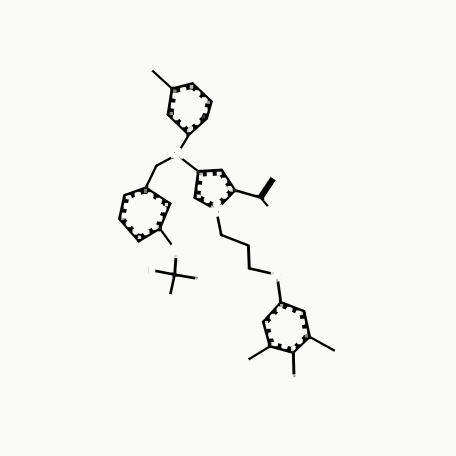 Cc1cccc(N(Cc2cccc(OC(F)(F)F)c2)c2cc(C(=O)O)n(CCCOc3cc(C)c(Cl)c(C)c3)c2)c1